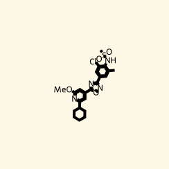 COc1cc(-c2nc(-c3cc(C)c(NS(C)(=O)=O)c(Cl)c3)no2)cc(C2CCCCC2)n1